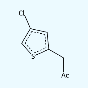 CC(=O)Cc1cc(Cl)cs1